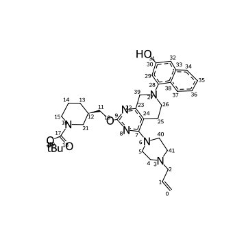 C=CCN1CCN(c2nc(OC[C@@H]3CCCN(C(=O)OC(C)(C)C)C3)nc3c2CCN(c2cc(O)cc4ccccc24)C3)CC1